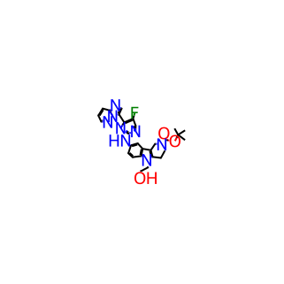 CC(C)(C)OC(=O)N1CCc2c(c3cc(Nc4ncc(F)c(-c5cnc6cccnn56)n4)ccc3n2CCO)C1